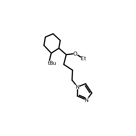 CCOC(CCCn1ccnc1)C1CCCCC1C(C)(C)C